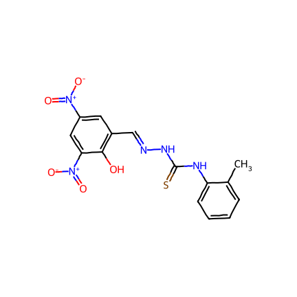 Cc1ccccc1NC(=S)NN=Cc1cc([N+](=O)[O-])cc([N+](=O)[O-])c1O